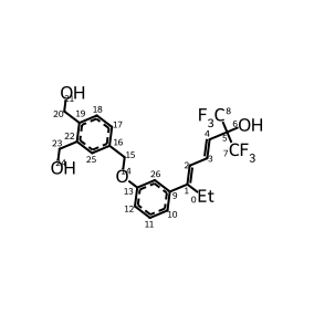 CCC(=CC=CC(O)(C(F)(F)F)C(F)(F)F)c1cccc(OCc2ccc(CO)c(CO)c2)c1